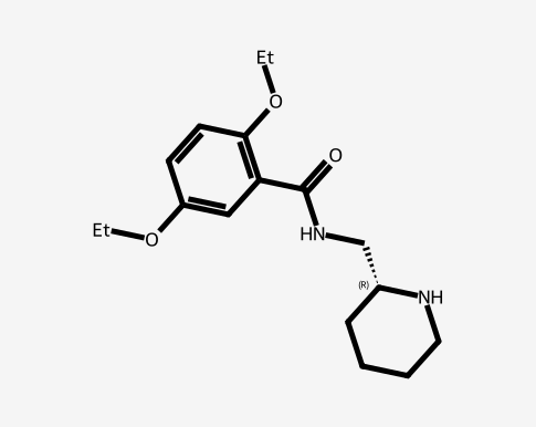 CCOc1ccc(OCC)c(C(=O)NC[C@H]2CCCCN2)c1